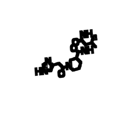 CC(C)[C@H](NC(=O)C1CCCN(C(=O)Cc2c[nH]cn2)C1)C(N)=O